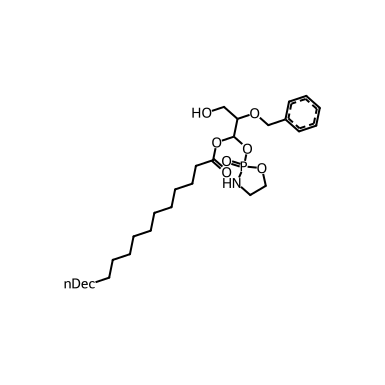 CCCCCCCCCCCCCCCCCCCCC(=O)OC(OP1(=O)NCCO1)C(CO)OCc1ccccc1